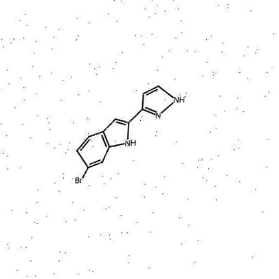 Brc1ccc2cc(-c3cc[nH]n3)[nH]c2c1